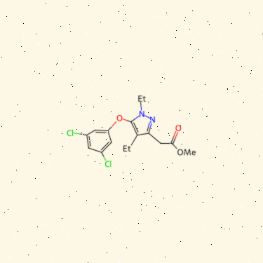 CCc1c(CC(=O)OC)nn(CC)c1Oc1cc(Cl)cc(Cl)c1